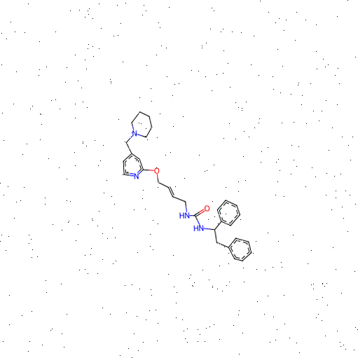 O=C(NCC=CCOc1cc(CN2CCCCC2)ccn1)NC(Cc1ccccc1)c1ccccc1